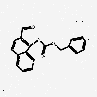 O=[C]c1ccc2ccccc2c1NC(=O)OCc1ccccc1